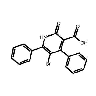 O=C(O)c1c(-c2ccccc2)c(Br)c(-c2ccccc2)[nH]c1=O